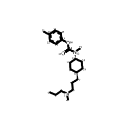 CCCN(C)CCC[C@H]1CC[C@H](N(C)C(=O)Oc2ccc(C)cc2)CC1